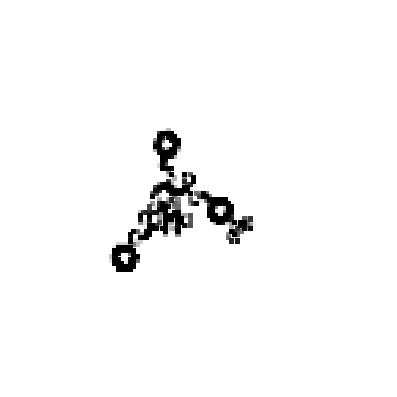 O=C(COc1ccccc1)N[C@@H]1C(=O)N2C(C(=O)OCc3ccc([N+](=O)[O-])cc3)=C(SCc3ccccc3)CS[C@H]12